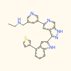 CCNCc1cncc(-c2cc3c(-c4cc5c(-c6ccsc6)cccc5[nH]4)n[nH]c3cn2)c1